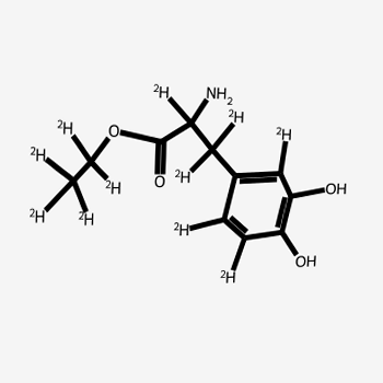 [2H]c1c([2H])c(C([2H])([2H])C([2H])(N)C(=O)OC([2H])([2H])C([2H])([2H])[2H])c([2H])c(O)c1O